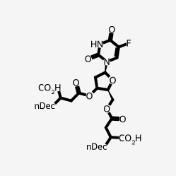 CCCCCCCCCCC(CC(=O)OC[C@@H]1O[C@H](n2cc(F)c(=O)[nH]c2=O)CC1OC(=O)CC(CCCCCCCCCC)C(=O)O)C(=O)O